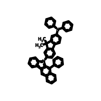 CC1(C)c2cc(N(c3ccccc3)c3ccccc3)ccc2-c2ccc(-n3c4ccccc4c4cc5ccccc5c(-c5ccccc5)c43)cc21